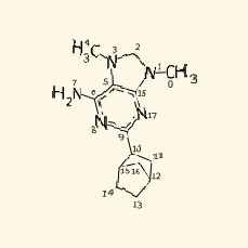 CN1CN(C)c2c(N)nc(C3CC4CCC3C4)nc21